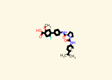 COc1cc(-c2ccc(NC(=O)[C@H]3CCCN3C(=O)Nc3ccc(C(C)C)cc3)cc2)c(F)cc1C(=O)O